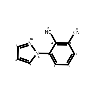 N#Cc1cccc(-n2c[c]cn2)c1C#N